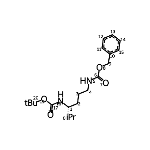 CC(C)[C@@H](CCCNC(=O)OCc1ccccc1)NC(=O)OC(C)(C)C